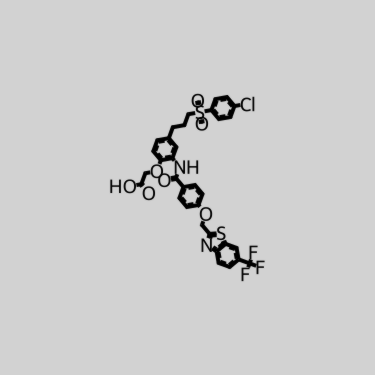 O=C(O)COc1ccc(CCCS(=O)(=O)c2ccc(Cl)cc2)cc1NC(=O)c1ccc(OCc2nc3ccc(C(F)(F)F)cc3s2)cc1